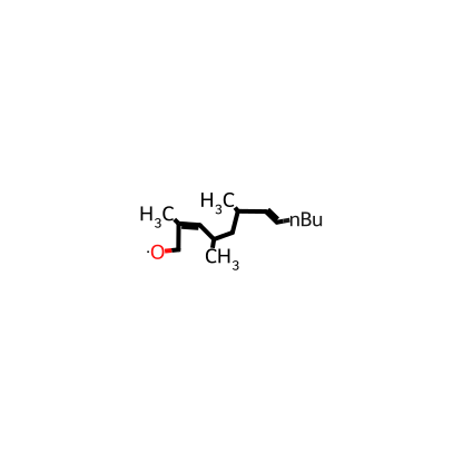 CCCCC=CC(C)CC(C)C=C(C)C[O]